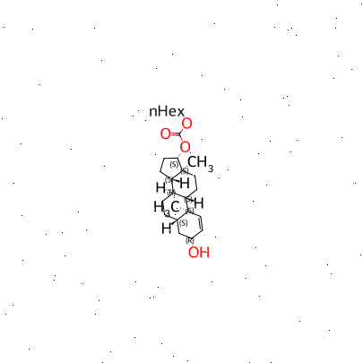 CCCCCCOC(=O)O[C@H]1CC[C@H]2[C@@H]3CC[C@H]4C[C@@H](O)C=C[C@]4(C)[C@H]3CC[C@]12C